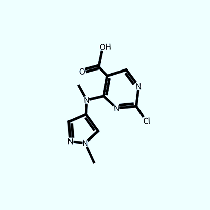 CN(c1cnn(C)c1)c1nc(Cl)ncc1C(=O)O